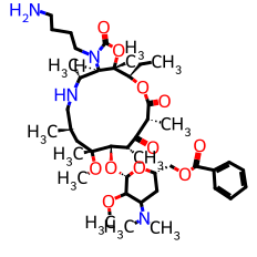 CC[C@H]1OC(=O)[C@H](C)C(=O)[C@H](C)[C@@H](O[C@@H]2O[C@H](COC(=O)c3ccccc3)CC(N(C)C)C2OC)[C@](C)(OC)C[C@@H](C)CN[C@H](C)[C@H]2N(CCCCN)C(=O)O[C@]12C